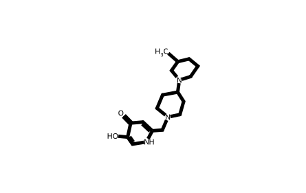 CC1CCCN(C2CCN(Cc3cc(=O)c(O)c[nH]3)CC2)C1